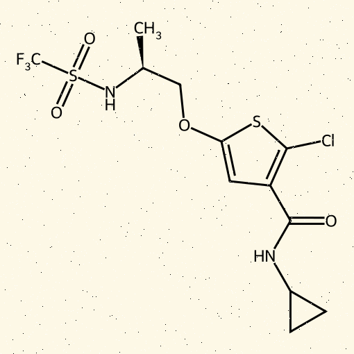 C[C@@H](COc1cc(C(=O)NC2CC2)c(Cl)s1)NS(=O)(=O)C(F)(F)F